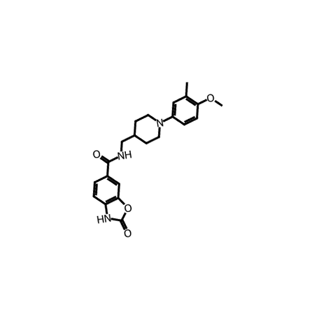 COc1ccc(N2CCC(CNC(=O)c3ccc4[nH]c(=O)oc4c3)CC2)cc1C